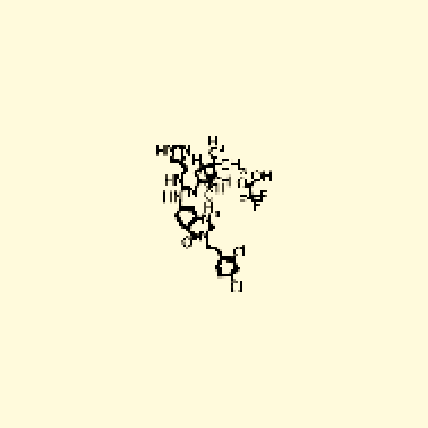 C[C@@H]1C(N=C(NCc2c[nH]cn2)Nc2ccc3c(=O)n(CCc4ccc(Cl)cc4Cl)cnc3c2)C[C@@H]2C[C@H]1C2(C)C.O=C(O)C(F)(F)F